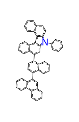 c1ccc(-n2c3ccc4ccccc4c3c3c4ccccc4c(-c4ccc(-c5cc6ccccc6c6ccccc56)c5ccccc45)cc32)cc1